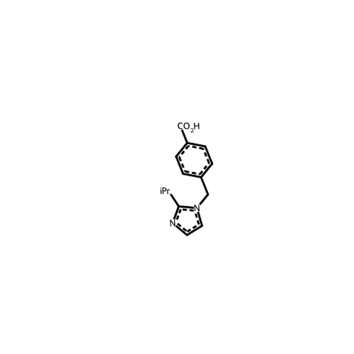 CC(C)c1nccn1Cc1ccc(C(=O)O)cc1